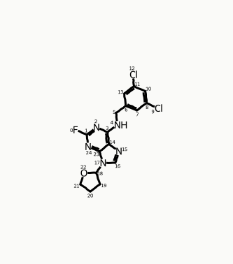 Fc1nc(NCc2cc(Cl)cc(Cl)c2)c2ncn(C3CCCO3)c2n1